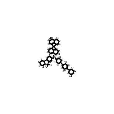 CC1(C)c2ccccc2-c2ccc(N(c3ccc(-c4ccc(-c5ccccc5)cc4)cc3)c3ccc4c5c(cccc35)C43c4cccc5cccc3c45)cc21